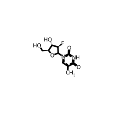 Cc1cn(C2O[C@@H](CO)[C@H](O)[C@H]2F)c(=O)[nH]c1=O